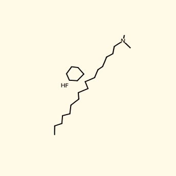 C1CCCCC1.CCCCCCCCCCCCCCCCN(C)C.F